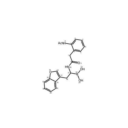 CC(=O)Nc1ccccc1CC(=O)NC(Cc1coc2ccccc12)B(O)O